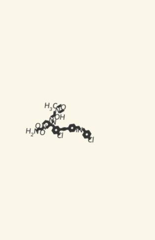 C[C@H]1COCCN1C[C@@H](O)Cn1nc(-c2ccc(Cl)c(C#Cc3ccc(CNCc4ccc(Cl)cc4)cc3)c2)c2c1CCN(C(=O)C(N)=O)C2